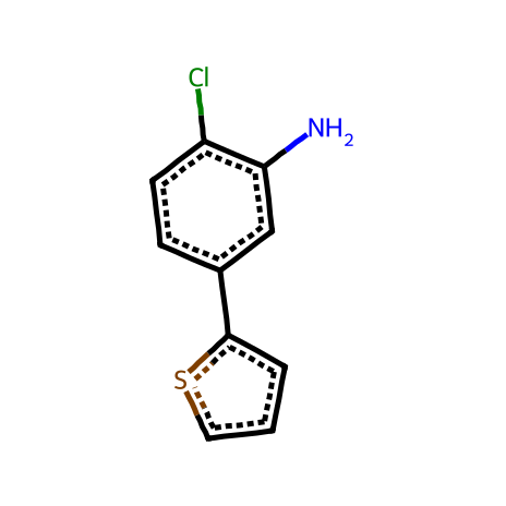 Nc1cc(-c2cccs2)ccc1Cl